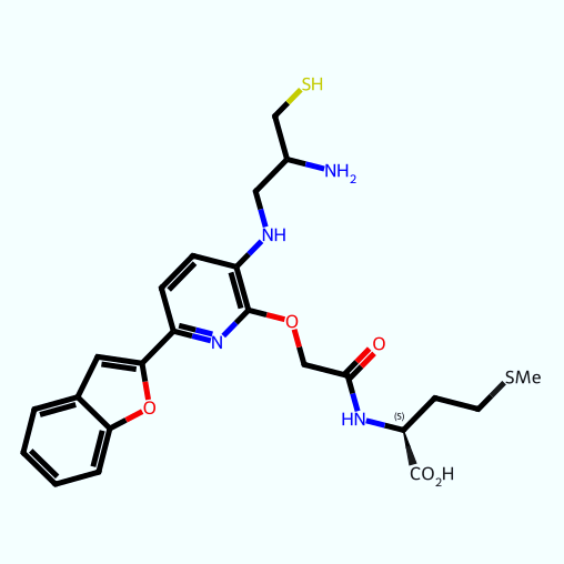 CSCC[C@H](NC(=O)COc1nc(-c2cc3ccccc3o2)ccc1NCC(N)CS)C(=O)O